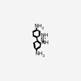 N=[N+]=N.Nc1ccc(-c2ccc(N)cc2)cc1